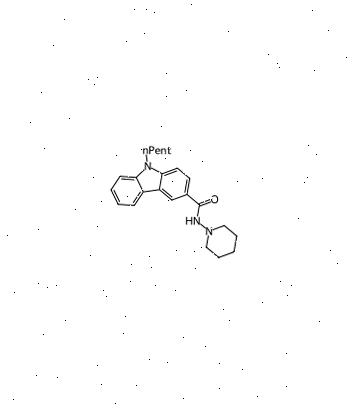 CCCCCn1c2ccccc2c2cc(C(=O)NN3CCCCC3)ccc21